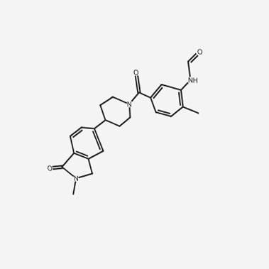 Cc1ccc(C(=O)N2CCC(c3ccc4c(c3)CN(C)C4=O)CC2)cc1NC=O